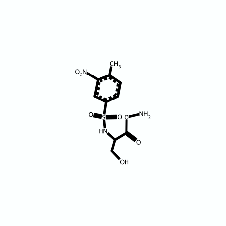 Cc1ccc(S(=O)(=O)NC(CO)C(=O)ON)cc1[N+](=O)[O-]